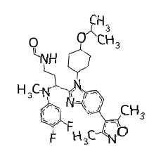 Cc1noc(C)c1-c1ccc2c(c1)nc(C(CCNC=O)N(C)c1ccc(F)c(F)c1)n2C1CCC(OC(C)C)CC1